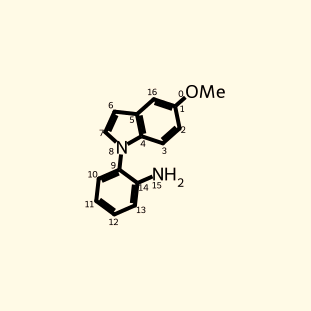 COc1ccc2c(ccn2-c2ccccc2N)c1